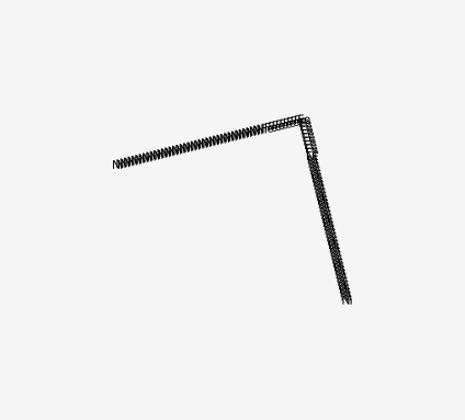 [Fe].[Fe].[Fe].[Fe].[Fe].[Fe].[Fe].[Fe].[Fe].[Fe].[Fe].[Fe].[Fe].[Fe].[Fe].[Fe].[Fe].[Fe].[Fe].[Fe].[Ni].[Ni].[Ni].[Ni].[Ni].[Ni].[Ni].[Ni].[Ni].[Ni].[Ni].[Ni].[Ni].[Ni].[Ni].[Ni].[Ni].[Ni].[Ni].[Ni].[Ni].[Ni].[Ni].[Ni].[Ni].[Ni].[Ni].[Ni].[Ni].[Ni].[Ni].[Ni].[Ni].[Ni].[Ni].[Ni].[Ni].[Ni].[Ni].[Ni].[Ni].[Ni].[Ni].[Ni].[Ni].[Ni].[Ni].[Ni].[Ni].[Ni].[Ni].[Ni].[Ni].[Ni].[Ni].[Ni].[Ni].[Ni].[Ni].[Ni].[Ni].[Ni].[Ni].[Ni].[Ni].[Ni].[Ni].[Ni].[Ni].[Ni].[Ni].[Ni].[Ni].[Ni].[Ni].[Ni].[Ni].[Ni].[Ni].[Ni]